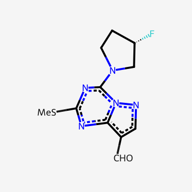 CSc1nc(N2CC[C@H](F)C2)n2ncc(C=O)c2n1